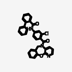 O=C(Nc1ccc(C(=O)N2Cc3ccccc3Oc3ncccc32)c(Cl)c1)c1ccccc1-c1ccccc1